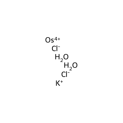 O.O.[Cl-].[Cl-].[K+].[Os+4]